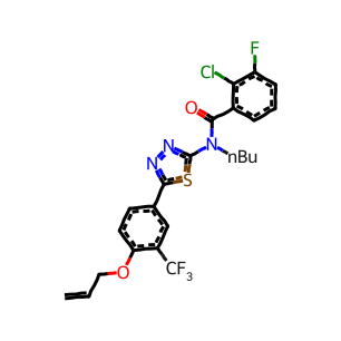 C=CCOc1ccc(-c2nnc(N(CCCC)C(=O)c3cccc(F)c3Cl)s2)cc1C(F)(F)F